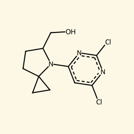 OCC1CCC2(CC2)N1c1cc(Cl)nc(Cl)n1